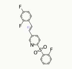 O=S(=O)(c1ccc(/C=C/c2ccc(F)cc2F)cn1)c1ccccc1F